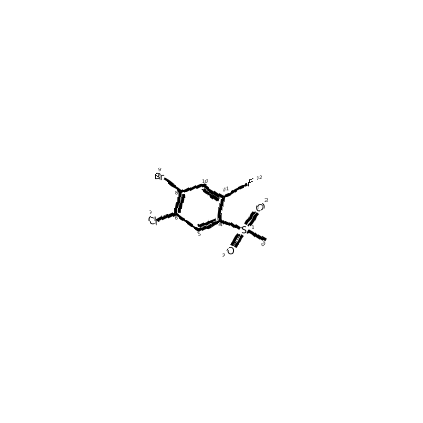 CS(=O)(=O)c1cc(Cl)c(Br)cc1F